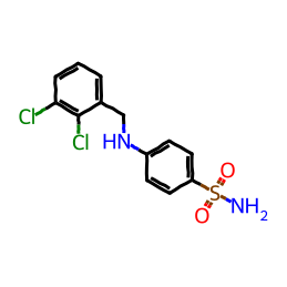 NS(=O)(=O)c1ccc(NCc2cccc(Cl)c2Cl)cc1